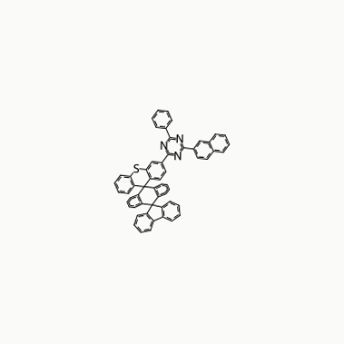 c1ccc(-c2nc(-c3ccc4c(c3)Sc3ccccc3C43c4ccccc4C4(c5ccccc5-c5ccccc54)c4ccccc43)nc(-c3ccc4ccccc4c3)n2)cc1